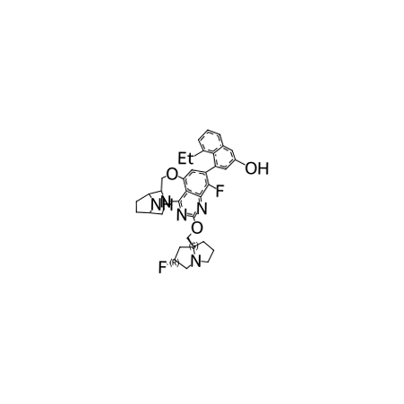 CCc1cccc2cc(O)cc(-c3cc4c5c(nc(OC[C@@]67CCCN6C[C@H](F)C7)nc5c3F)N3CC5CCC(N5)C3CO4)c12